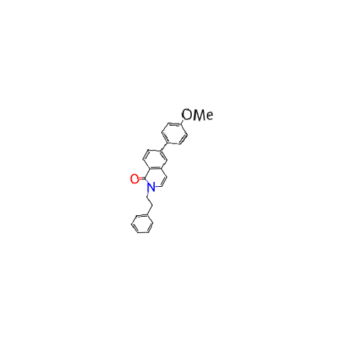 COc1ccc(-c2ccc3c(=O)n(CCc4ccccc4)ccc3c2)cc1